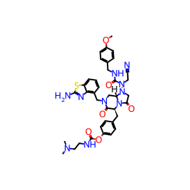 COc1ccc(CNC(=O)N(CC#N)N2CC(=O)N3[C@@H](Cc4ccc(OC(=O)NCCN(C)C)cc4)C(=O)N(Cc4cccc5sc(N)nc45)C[C@@H]32)cc1